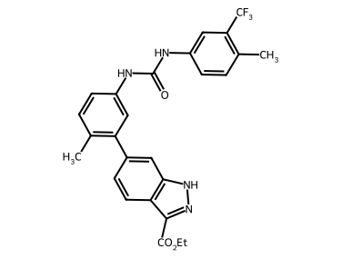 CCOC(=O)c1n[nH]c2cc(-c3cc(NC(=O)Nc4ccc(C)c(C(F)(F)F)c4)ccc3C)ccc12